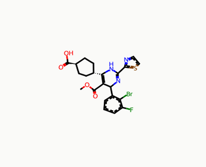 COC(=O)C1=C([C@H]2CC[C@H](C(=O)O)CC2)NC(c2nccs2)=NC1c1cccc(F)c1Br